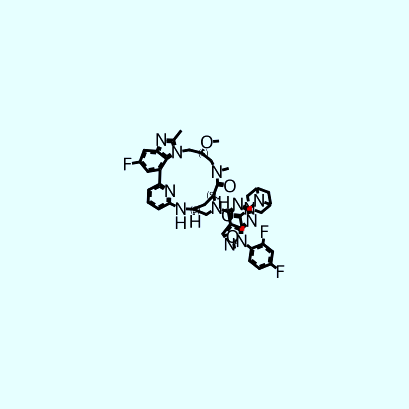 COCC(=O)N1CC2CC(C1)N2c1nc(N2C[C@@H]3C[C@H]2C(=O)N(C)C[C@H](OC)Cn2c(C)nc4cc(F)cc(c42)-c2cccc(n2)N3)c2cnn(-c3ccc(F)cc3F)c2n1